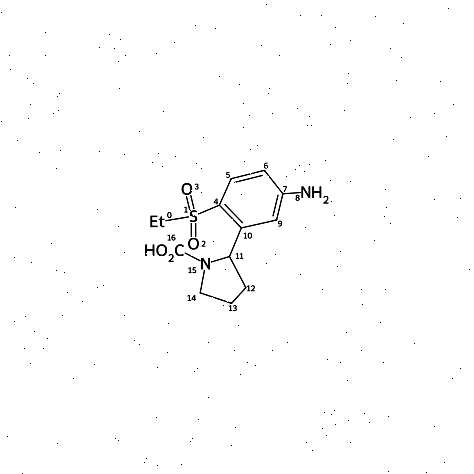 CCS(=O)(=O)c1ccc(N)cc1C1CCCN1C(=O)O